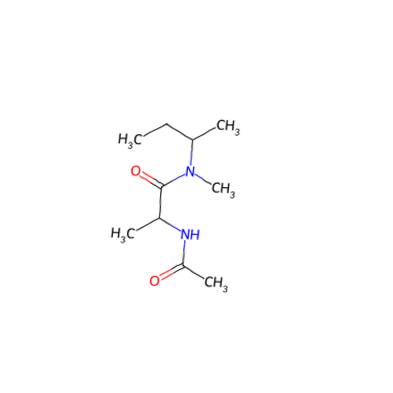 CCC(C)N(C)C(=O)C(C)NC(C)=O